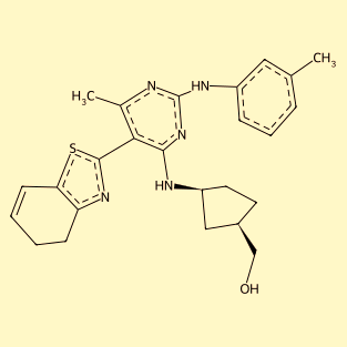 Cc1cccc(Nc2nc(C)c(-c3nc4c(s3)C=CCC4)c(N[C@H]3CC[C@@H](CO)C3)n2)c1